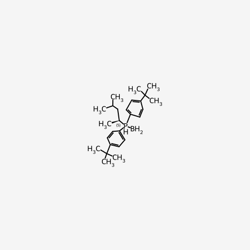 B[PH](c1ccc(C(C)(C)C)cc1)(c1ccc(C(C)(C)C)cc1)[C@@H](C)CC(C)C